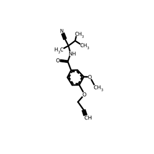 C#CCOc1ccc(C(=O)NC(C)(C#N)C(C)C)cc1OC